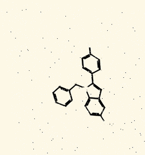 COc1ccc2c([c]c(-c3ccc(F)cc3)n2Cc2ccccc2)c1